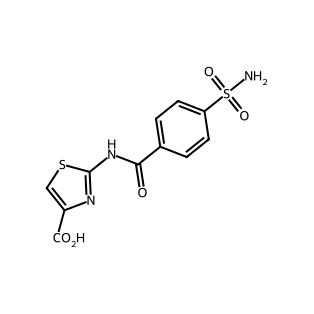 NS(=O)(=O)c1ccc(C(=O)Nc2nc(C(=O)O)cs2)cc1